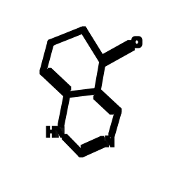 O=C1CCC=C2NC=NC=C12